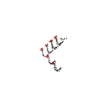 CCCCC/C=C\C/C=C\CCCCCCCC(=O)[O-].CCCCC/C=C\C/C=C\CCCCCCCC(=O)[O-].CCCCC/C=C\C/C=C\CCCCCCCC(=O)[O-].CCCCC/C=C\C/C=C\CCCCCCCC(=O)[O-].CCCCC/C=C\C/C=C\CCCCCCCC(=O)[O-].CCCCC/C=C\C/C=C\CCCCCCCC(=O)[O-].[Mo+6]